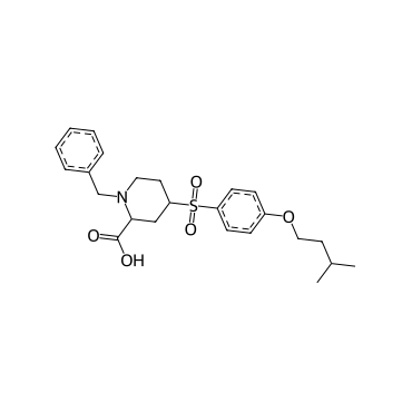 CC(C)CCOc1ccc(S(=O)(=O)C2CCN(Cc3ccccc3)C(C(=O)O)C2)cc1